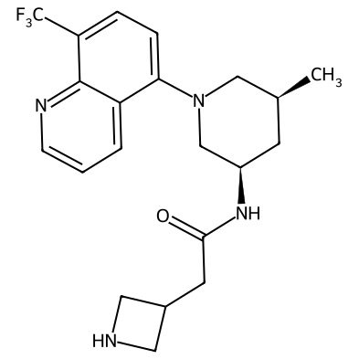 C[C@H]1C[C@@H](NC(=O)CC2CNC2)CN(c2ccc(C(F)(F)F)c3ncccc23)C1